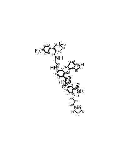 CC1(C)CCC(CNCCNc2ccc(C(=O)NS(=O)(=O)c3ccc(NCCCN4CCCC4)c([N+](=O)O)c3)c(Oc3cccc4[nH]ccc34)c2)=C(c2ccc(C(F)(F)F)cc2)C1